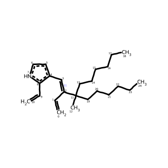 C=C/C(=C\c1cc[nH]c1C=C)C(C)(CCCCCC)CCCCCC